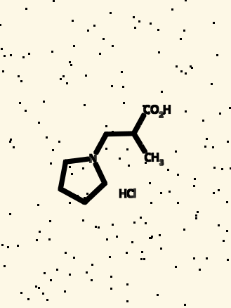 CC(CN1CCCC1)C(=O)O.Cl